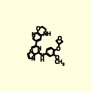 COc1cc(Nc2nc(-c3cnc4c(c3)NCCO4)cn3ccnc23)ccc1OC1COC1